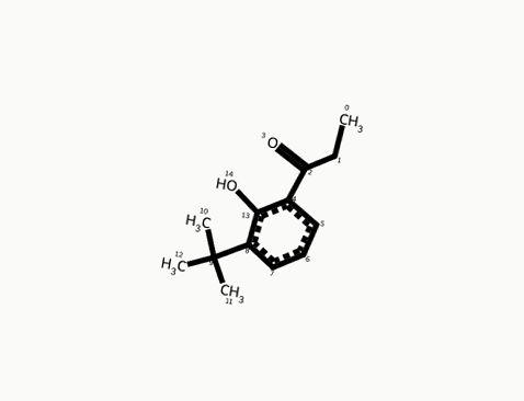 CCC(=O)c1cccc(C(C)(C)C)c1O